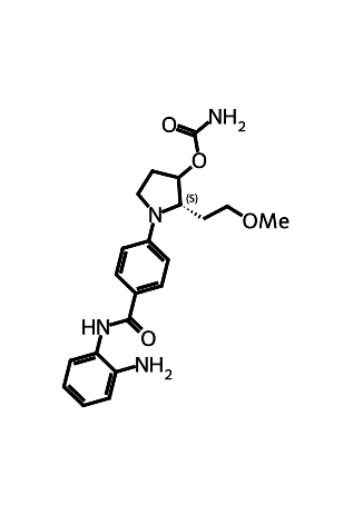 COCC[C@H]1C(OC(N)=O)CCN1c1ccc(C(=O)Nc2ccccc2N)cc1